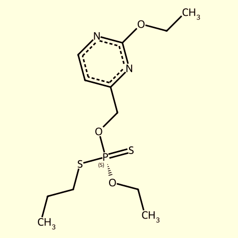 CCCS[P@@](=S)(OCC)OCc1ccnc(OCC)n1